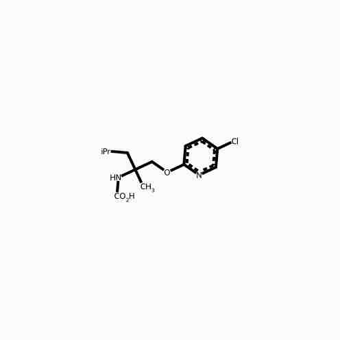 CC(C)CC(C)(COc1ccc(Cl)cn1)NC(=O)O